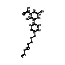 C=CCOCCCCc1ccc(-c2cc(I)cc(C(C)=O)c2C)cc1